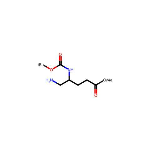 COC(=O)CCC(CN)NC(=O)OC(C)(C)C